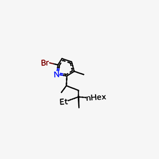 CCCCCCC(C)(CC)CC(C)c1nc(Br)ccc1C